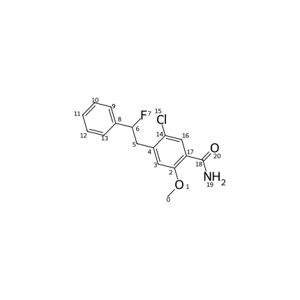 COc1cc(CC(F)c2ccccc2)c(Cl)cc1C(N)=O